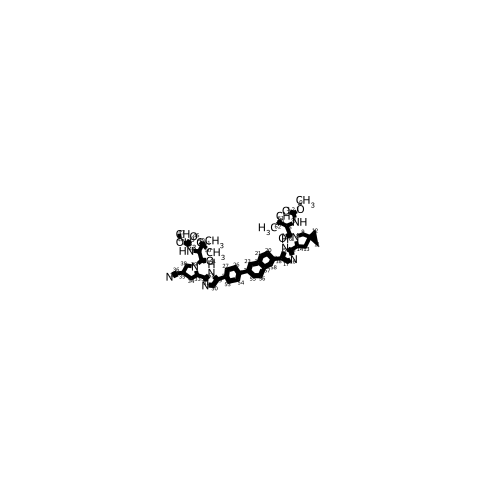 COC(=O)NC(C(=O)N1CC2(CC2)CC1c1ncc(-c2ccc3cc(-c4ccc(-c5cnc(C6CC(C#N)CN6C(=O)C(NC(=O)OC)C(C)(C)C)[nH]5)cc4)ccc3c2)[nH]1)C(C)C